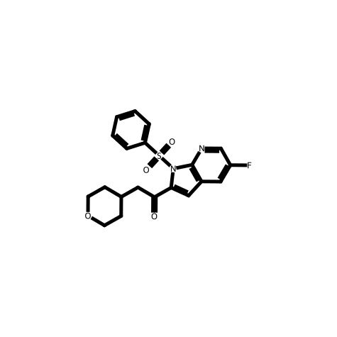 O=C(CC1CCOCC1)c1cc2cc(F)cnc2n1S(=O)(=O)c1ccccc1